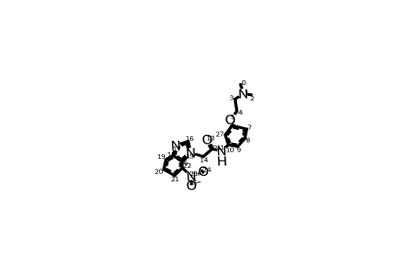 CN(C)CCOc1cccc(NC(=O)Cn2cnc3cccc([N+](=O)[O-])c32)c1